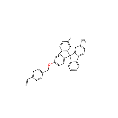 C=Cc1ccc(COc2ccc(C3(c4cc(C)ccc4C)c4ccccc4-c4ccc([SiH3])cc43)cc2)cc1